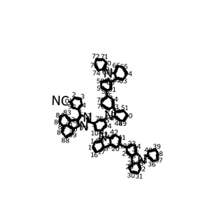 N#Cc1cccc(-c2nc(-c3cc(-n4c5ccccc5c5cc(-c6ccc7c(c6)c6ccccc6n7-c6ccccc6)ccc54)cc(-n4c5ccccc5c5cc(-c6ccc7c(c6)c6ccccc6n7-c6ccccc6)ccc54)c3)nc3c2-c2cccc4cccc-3c24)c1